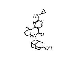 O=C(NC1C2CC3CC1CC(O)(C3)C2)c1cnc(NC2CC2)nc1C1CCCO1